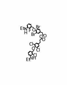 CCNc1cccc(COc2c(Br)cc(CC(=O)OC(=O)CCc3cc(Cl)c(OCc4cccc(NCC)c4Cl)c(Cl)c3)cc2Br)c1F